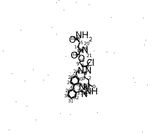 CCCCc1nc(Cl)c(COC(=O)[C@@H](CCC(N)=O)N(C)C)n1Cc1ccc(-c2ccccc2-c2nn[nH]n2)cc1